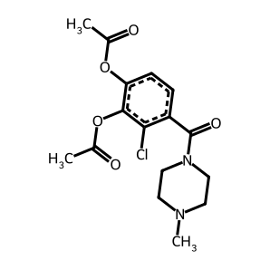 CC(=O)Oc1ccc(C(=O)N2CCN(C)CC2)c(Cl)c1OC(C)=O